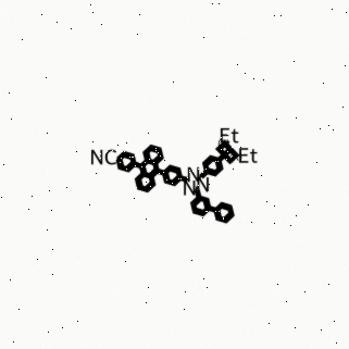 CC[C@@H]1CC2(c3ccc(-c4nc(-c5ccc(-c6c7ccccc7c(-c7ccc(C#N)cc7)c7ccccc67)cc5)nc(-c5cccc(-c6ccccc6)c5)n4)cc3)C[C@H](CC)C12